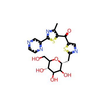 Cc1nc(-c2cnccn2)sc1C(=O)c1cnc(C[C@H]2OC(CO)[C@@H](O)C(O)C2O)s1